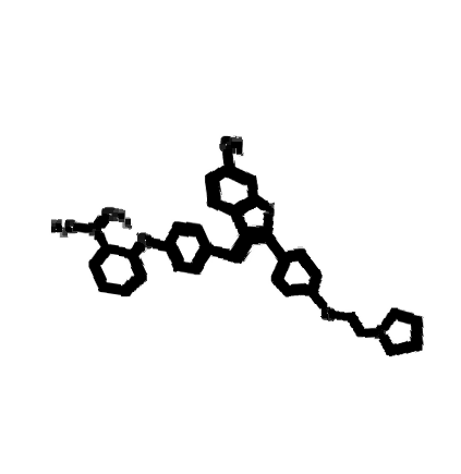 CN(C)[C@@H]1CCCC[C@@H]1Oc1ccc(Cc2c(-c3ccc(OCCN4CCCC4)cc3)sc3cc(O)ccc23)cc1